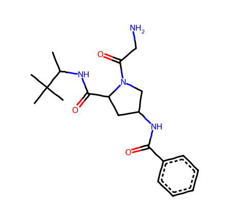 CC(NC(=O)C1CC(NC(=O)c2ccccc2)CN1C(=O)CN)C(C)(C)C